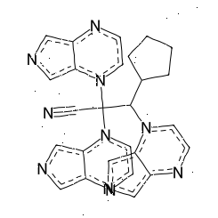 N#CC(C(C1CCCC1)n1ccnc2cncc1-2)(n1ccnc2cncc1-2)n1ccnc2cncc1-2